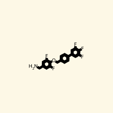 NCc1cc(F)c(OCc2ccc(-c3cc(F)c(F)c(F)c3)cc2)c(F)c1